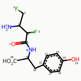 NC(CF)C(F)C(=O)NC(Cc1ccc(O)cc1)C(=O)O